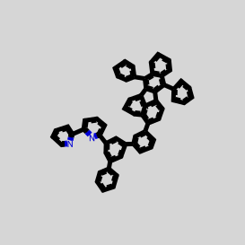 c1ccc(-c2cc(-c3cccc(-c4ccc5c6c(cccc46)-c4c-5c(-c5ccccc5)c5ccccc5c4-c4ccccc4)c3)cc(-c3cccc(-c4ccccn4)n3)c2)cc1